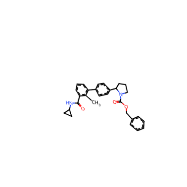 Cc1c(C(=O)NC2CC2)cccc1-c1ccc(C2CCCN2C(=O)OCc2ccccc2)cc1